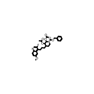 COc1ccc2ncc(F)c(CCCC3CCN(C(=O)OCc4ccccc4)C(OC(C)=O)C3OC(C)=O)c2c1